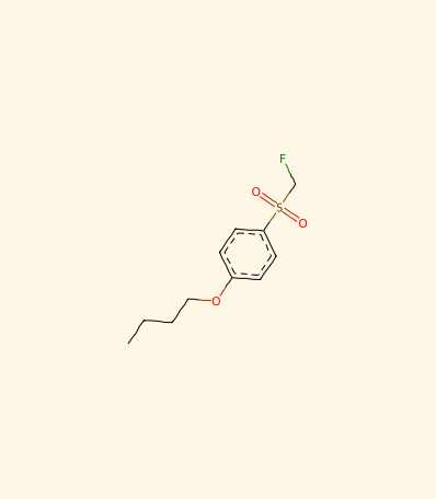 CCCCOc1ccc(S(=O)(=O)CF)cc1